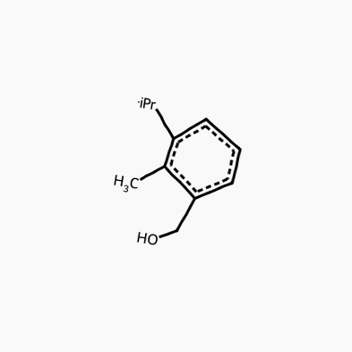 C[C](C)c1cccc(CO)c1C